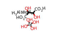 O=C(O)C(O)C(O)C(=O)O.O[Si](O)(O)O.[AlH3].[MgH2]